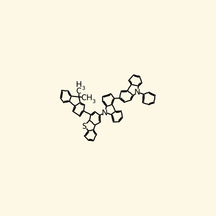 CC1(C)c2ccccc2-c2ccc(C3=CC(n4c5ccccc5c5c(-c6ccc7c(c6)c6ccccc6n7-c6ccccc6)cccc54)=CC4c5ccccc5SC34)cc21